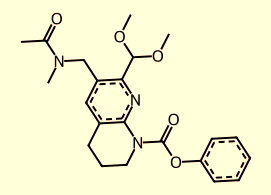 COC(OC)c1nc2c(cc1CN(C)C(C)=O)CCCN2C(=O)Oc1ccccc1